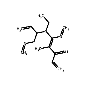 C=CC(=N)/C(C)=C(\N=C)N(CC)C(C=C)CN=C